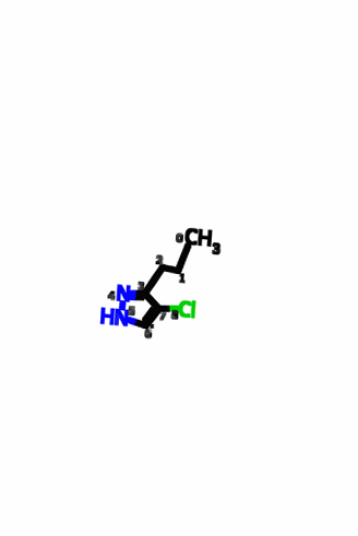 CCCc1n[nH][c]c1Cl